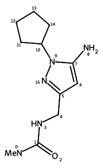 CNC(=O)NCc1cc(N)n(C2CCCC2)n1